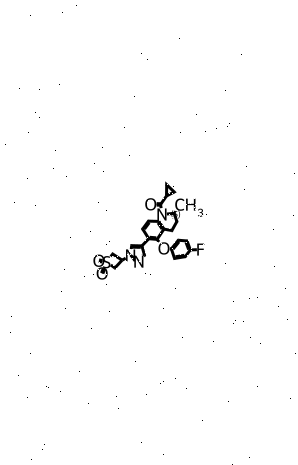 C[C@H]1CCc2c(ccc(-c3cnn(C4CS(=O)(=O)C4)c3)c2Oc2ccc(F)cc2)N1C(=O)C1CC1